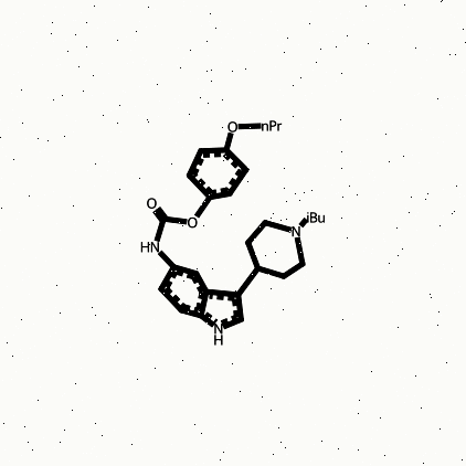 CCCOc1ccc(OC(=O)Nc2ccc3[nH]cc(C4CCN(C(C)CC)CC4)c3c2)cc1